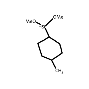 CO[SiH](OC)C1CCC(C)CC1